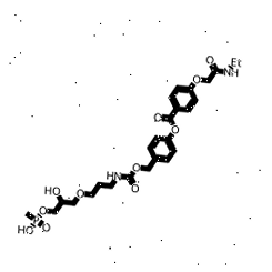 CCNC(=O)COc1ccc(C(=O)Oc2ccc(COC(=O)NCCCOCC(O)COP(C)(=O)O)cc2)cc1